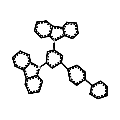 c1ccc(-c2ccc(-c3cc(-n4c5ccccc5c5ccccc54)cc(-n4c5ccccc5c5ccccc54)c3)cc2)cc1